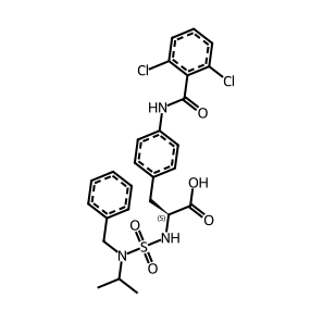 CC(C)N(Cc1ccccc1)S(=O)(=O)N[C@@H](Cc1ccc(NC(=O)c2c(Cl)cccc2Cl)cc1)C(=O)O